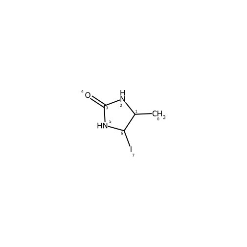 CC1NC(=O)NC1I